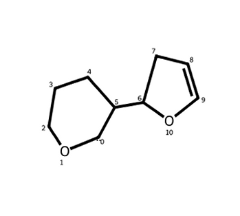 [C]1OCCCC1C1CC=CO1